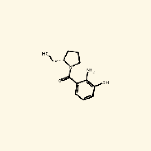 Nc1c(O)cccc1C(=O)N1CCC[C@H]1CO